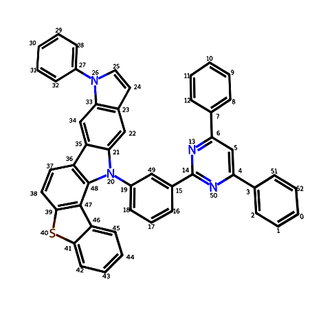 c1ccc(-c2cc(-c3ccccc3)nc(-c3cccc(-n4c5cc6ccn(-c7ccccc7)c6cc5c5ccc6sc7ccccc7c6c54)c3)n2)cc1